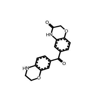 O=C1COc2ccc(C(=O)c3ccc4c(c3)OCCN4)cc2N1